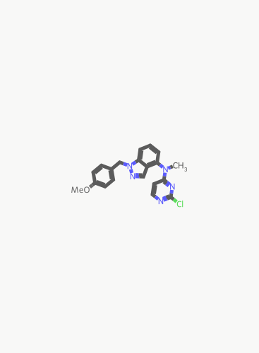 COc1ccc(Cn2ncc3c(N(C)c4ccnc(Cl)n4)cccc32)cc1